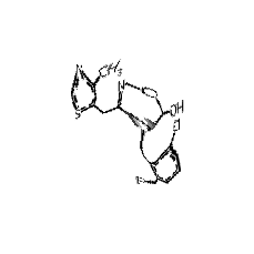 Cc1ncsc1CC1=NOC(O)N1Cc1c(F)cccc1Cl